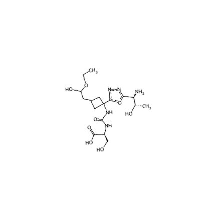 CCOC(O)CC1CC(NC(=O)N[C@@H](CO)C(=O)O)(c2nnc([C@@H](N)[C@H](C)O)o2)C1